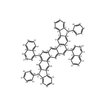 c1ccc(-n2c3ccccc3c3cc4c(cc32)c(-c2cncc3ccccc23)cc2cc3c(cc(-c5cncc6ccccc56)c5cc6c(cc53)c3ccccc3n6-c3ccccc3)cc24)cc1